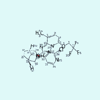 Cc1ccc(OCC(F)(F)F)n2nc(NC3[C@@H]4CC[C@H]3CN(c3ccnc(Cl)c3)C4)nc12